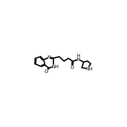 O=C(CCCc1nc2ccccc2c(=O)[nH]1)NC1CCNC1